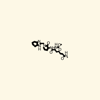 CNC(=O)/C=C/CCC(NC(=O)OC)C(=O)Nc1cccn(Cc2nc3ccccc3[nH]2)c1=O